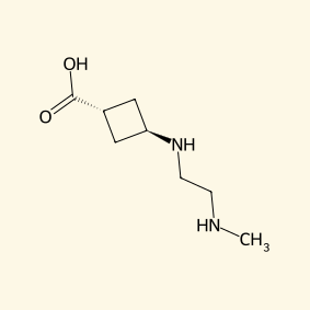 CNCCN[C@H]1C[C@H](C(=O)O)C1